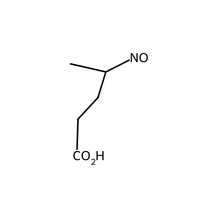 CC(CCC(=O)O)N=O